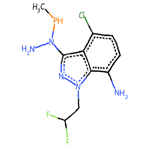 CPN(N)c1nn(CC(F)F)c2c(N)ccc(Cl)c12